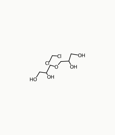 ClCCl.OCC(O)COCC(O)CO